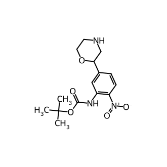 CC(C)(C)OC(=O)Nc1cc(C2CNCCO2)ccc1[N+](=O)[O-]